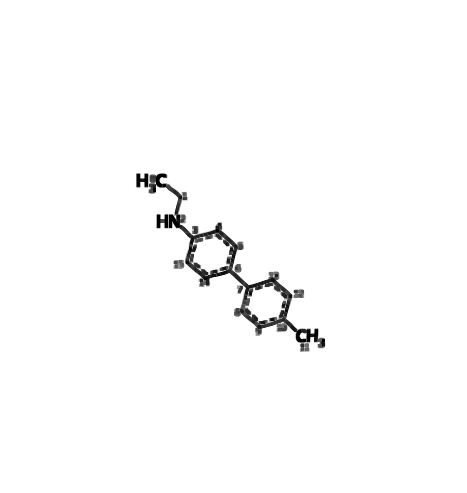 CCNc1ccc(-c2ccc(C)cc2)cc1